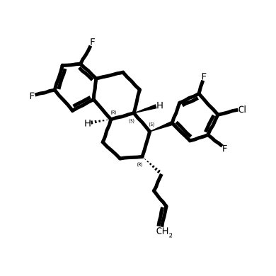 C=CCC[C@@H]1CC[C@H]2c3cc(F)cc(F)c3CC[C@@H]2[C@H]1c1cc(F)c(Cl)c(F)c1